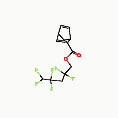 O=C(OCC(F)(F)CC(F)(F)C(F)F)C1=CC2C=CC1C2